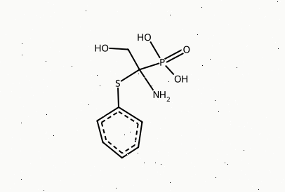 NC(CO)(Sc1ccccc1)P(=O)(O)O